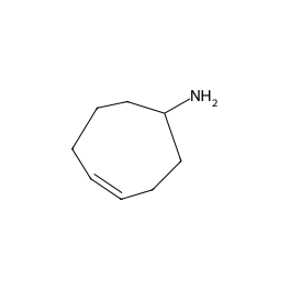 NC1CC/C=C\CCC1